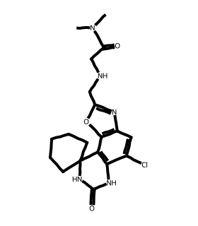 CN(C)C(=O)CNCc1nc2cc(Cl)c3c(c2o1)C1(CCCCC1)NC(=O)N3